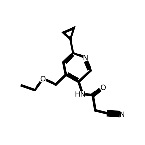 CCOCc1cc(C2CC2)ncc1NC(=O)CC#N